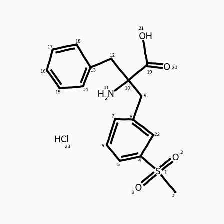 CS(=O)(=O)c1cccc(CC(N)(Cc2ccccc2)C(=O)O)c1.Cl